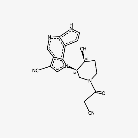 C[C@H]1CCN(C(=O)CC#N)C[C@H]1n1cc(C#N)c2cnc3[nH]ccc3c21